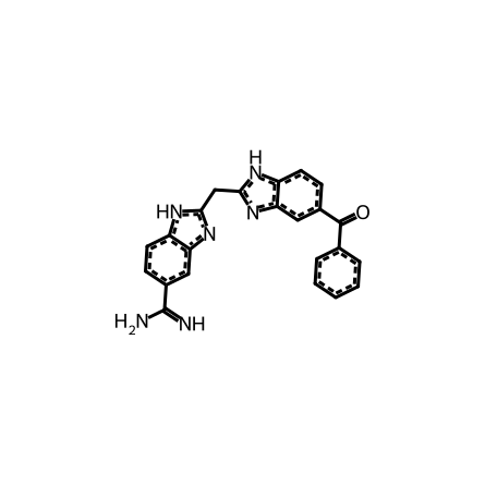 N=C(N)c1ccc2[nH]c(Cc3nc4cc(C(=O)c5ccccc5)ccc4[nH]3)nc2c1